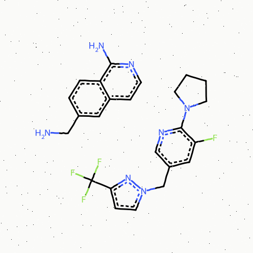 Fc1cc(Cn2ccc(C(F)(F)F)n2)cnc1N1CCCC1.NCc1ccc2c(N)nccc2c1